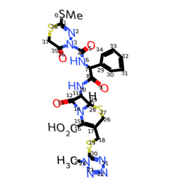 CSC1=NN(C(=O)NC(C(=O)NC2C(=O)N3C(C(=O)O)=C(CSc4nnnn4C)CS[C@@H]23)c2ccccc2)C(=O)CS1